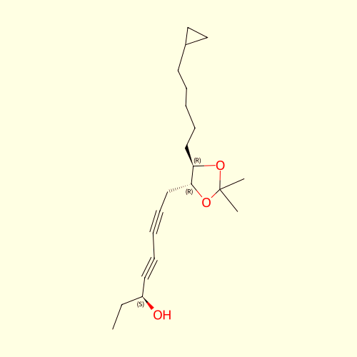 CC[C@H](O)C#CC#CC[C@H]1OC(C)(C)O[C@@H]1CCCCCC1CC1